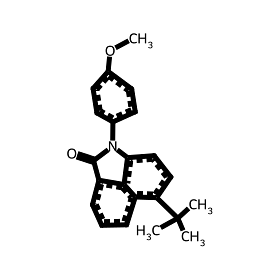 COc1ccc(N2C(=O)c3cccc4c(C(C)(C)C)ccc2c34)cc1